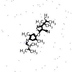 Cc1cc(Oc2snc(C(C)(C)C(C)C)c2C#N)c(C)cc1/N=C\N(C)C(C)C